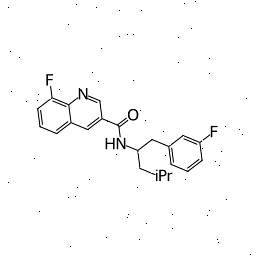 CC(C)CC(Cc1cccc(F)c1)NC(=O)c1cnc2c(F)cccc2c1